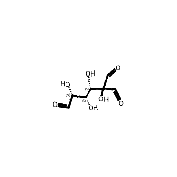 O=C[C@H](O)[C@@H](O)[C@H](O)C(O)(C=O)C=O